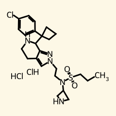 CCCS(=O)(=O)N(CCn1cc2c(n1)C(C1(c3ccc(Cl)cc3)CCC1)NCC2)C1CNC1.Cl.Cl